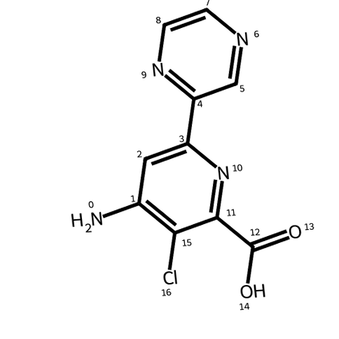 Nc1cc(-c2cnccn2)nc(C(=O)O)c1Cl